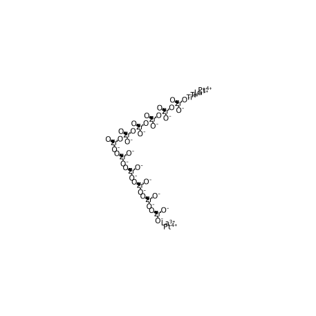 [La+3].[La+3].[O]=[Zr]([O-])[O-].[O]=[Zr]([O-])[O-].[O]=[Zr]([O-])[O-].[O]=[Zr]([O-])[O-].[O]=[Zr]([O-])[O-].[O]=[Zr]([O-])[O-].[O]=[Zr]([O-])[O-].[O]=[Zr]([O-])[O-].[O]=[Zr]([O-])[O-].[O]=[Zr]([O-])[O-].[O]=[Zr]([O-])[O-].[Pt+4].[Pt+4].[Ti+4].[Ti+4]